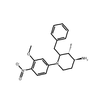 COc1cc(N2CC[C@H](N)[C@@H](F)C2Cc2ccccc2)ccc1[N+](=O)[O-]